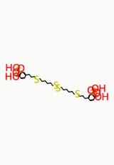 O=S(=O)(O)c1cc(CCCSCCCCCCSSCCCCCCSCCCc2ccc(O)c(S(=O)(=O)O)c2)ccc1O